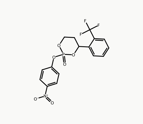 O=[N+]([O-])c1ccc(OP2(=O)OCCC(c3ccccc3C(F)(F)F)O2)cc1